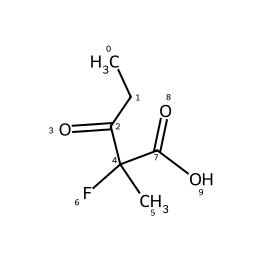 CCC(=O)C(C)(F)C(=O)O